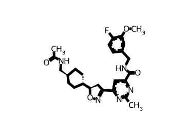 COc1cc(CNC(=O)c2cc(C3=NO[C@@H]([C@H]4CC[C@H](CNC(C)=O)CC4)C3)nc(C)n2)ccc1F